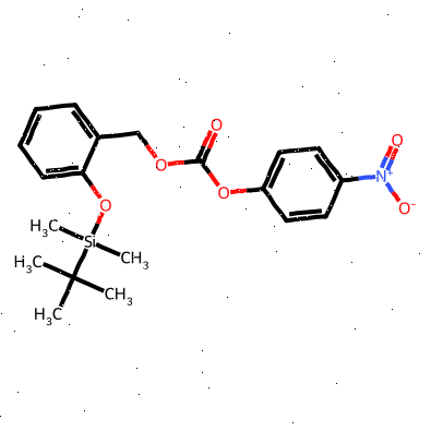 CC(C)(C)[Si](C)(C)Oc1ccccc1COC(=O)Oc1ccc([N+](=O)[O-])cc1